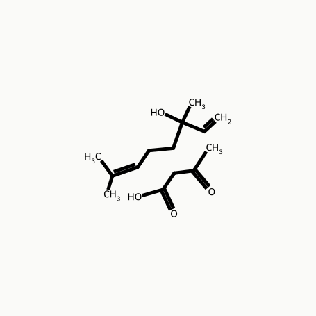 C=CC(C)(O)CCC=C(C)C.CC(=O)CC(=O)O